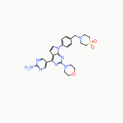 Nc1ncc(-c2nc(N3CCOCC3)nc3c2ccn3-c2ccc(CN3CCS(=O)(=O)CC3)cc2)cn1